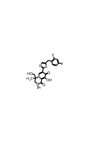 CC(C)N1CC(C)(CO)n2cc(-c3ncc(Cc4ccc(F)cc4F)s3)c(=O)c(O)c2C1=O